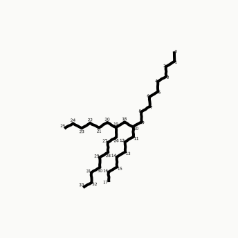 CCCCCCCCC[CH]C(CCCCCCC)CC(CCCCCC)CCCCCCCC